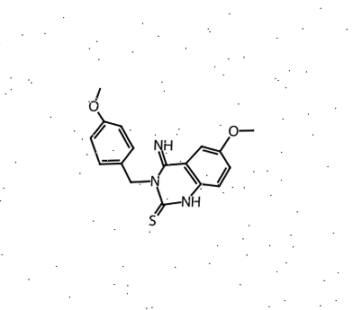 COc1ccc(Cn2c(=S)[nH]c3ccc(OC)cc3c2=N)cc1